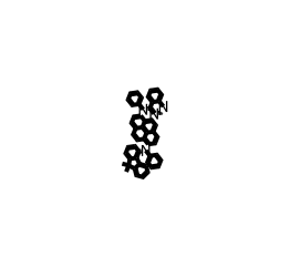 CC1(C)c2ccccc2-c2c(N(c3ccccc3)c3ccc4ccc5c(N(c6ccccc6)c6ncnc7ccccc67)ccc6ccc3c4c65)cccc21